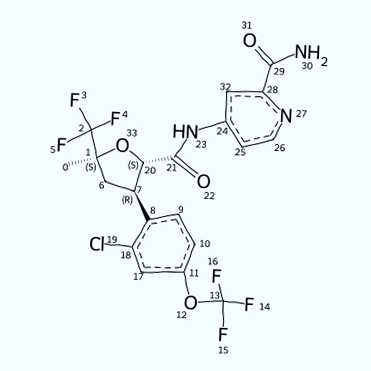 C[C@@]1(C(F)(F)F)C[C@H](c2ccc(OC(F)(F)F)cc2Cl)[C@@H](C(=O)Nc2ccnc(C(N)=O)c2)O1